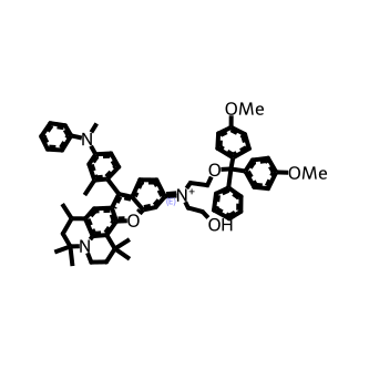 COc1ccc(C(OCC/[N+](CCO)=c2\ccc3c(-c4ccc(N(C)c5ccccc5)cc4C)c4cc5c6c(c4oc-3c2)C(C)(C)CCN6C(C)(C)CC5C)(c2ccccc2)c2ccc(OC)cc2)cc1